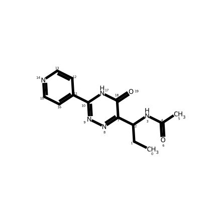 CCC(NC(C)=O)c1nnc(-c2ccncc2)[nH]c1=O